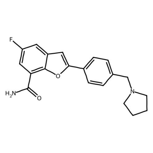 NC(=O)c1cc(F)cc2cc(-c3ccc(CN4CCCC4)cc3)oc12